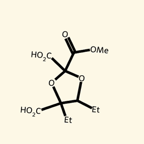 CCC1OC(C(=O)O)(C(=O)OC)OC1(CC)C(=O)O